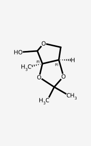 CC1(C)O[C@@H]2COC(O)[C@]2(C)O1